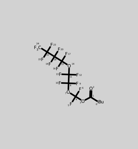 CCC(C)C(=O)OC(F)(F)OC(F)(F)C(F)(F)OC(F)(F)C(F)(F)C(F)(F)C(F)(F)F